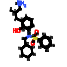 C[C@@H](CN)Cc1cccc(N(CC2CCCCC2)S(=O)(=O)c2ccccc2)c1O